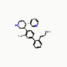 CC(=O)NCCc1ccccc1-c1ccc([C@H]2CNCC[C@@H]2c2cccnc2)c(C)c1